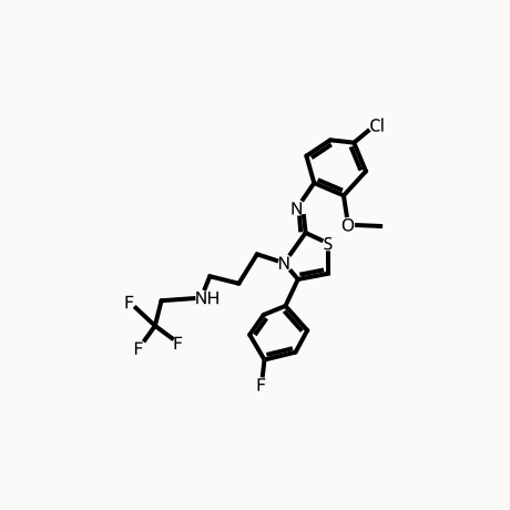 COc1cc(Cl)ccc1N=c1scc(-c2ccc(F)cc2)n1CCCNCC(F)(F)F